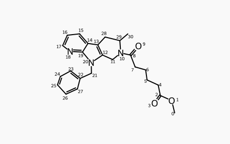 COC(=O)CCCCC(=O)N1Cc2c(c3cccnc3n2Cc2ccccc2)CC1C